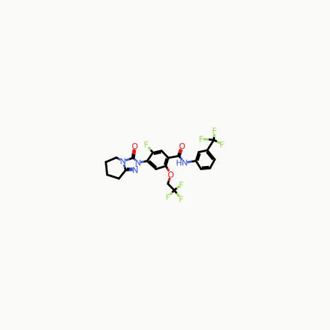 O=C(Nc1cccc(C(F)(F)F)c1)c1cc(F)c(-n2nc3n(c2=O)CCCC3)cc1OCC(F)(F)F